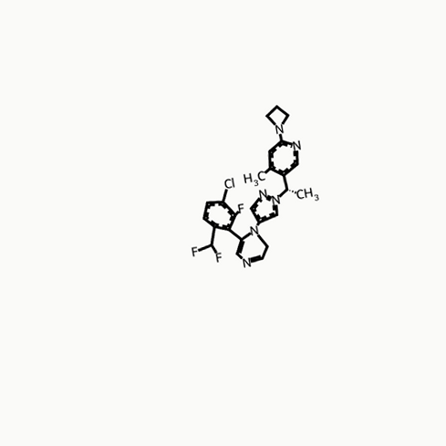 Cc1cc(N2CCC2)ncc1[C@H](C)n1cc(N2CC=NC=C2c2c(C(F)F)ccc(Cl)c2F)cn1